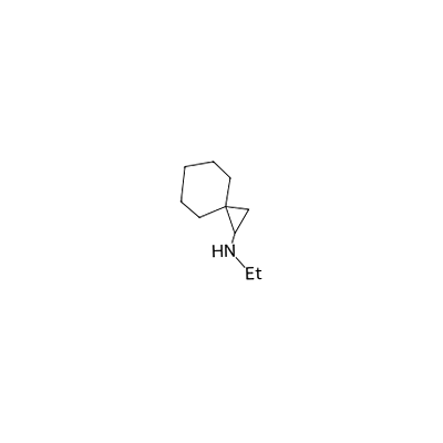 CCNC1CC12CCCCC2